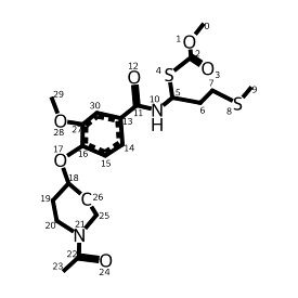 COC(=O)SC(CCSC)NC(=O)c1ccc(OC2CCN(C(C)=O)CC2)c(OC)c1